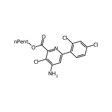 CCCCCOC(=O)c1nc(-c2ccc(Cl)cc2Cl)cc(N)c1Cl